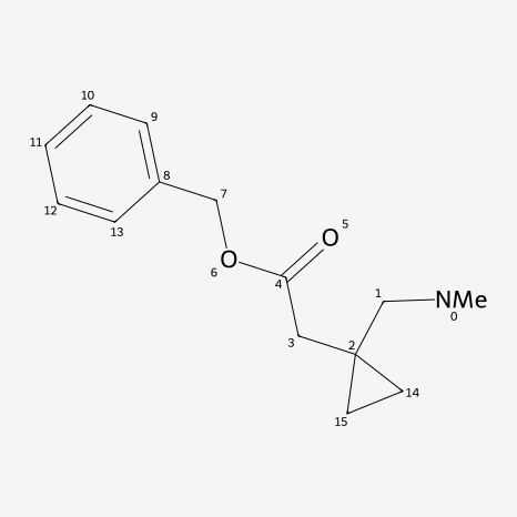 CNCC1(CC(=O)OCc2ccccc2)CC1